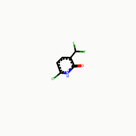 O=c1[nH]c(Cl)ccc1C(F)F